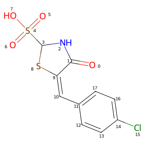 O=C1NC(S(=O)(=O)O)SC1=Cc1ccc(Cl)cc1